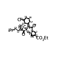 CCOC(=O)c1cc2n(n1)CC(C)(C(=O)NCCC(C)C)N(c1cccc(Cl)c1)C2=O